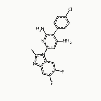 Cc1nc2cc(F)c(F)cc2n1-c1cc(N)c(-c2ccc(Cl)cc2)c(N)n1